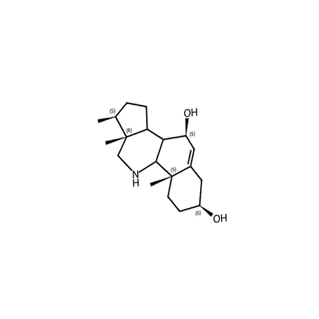 C[C@H]1CCC2C3C(NC[C@@]21C)[C@@]1(C)CC[C@H](O)CC1=C[C@@H]3O